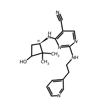 CC1(C)C(O)C[C@H]1Nc1nc(NCCc2cccnc2)ncc1C#N